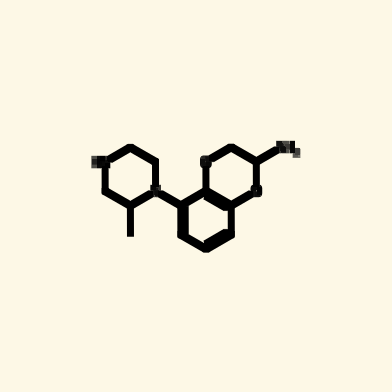 CC1CNCCN1c1cccc2c1OCC(N)O2